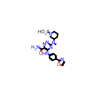 CN(c1nnc(C(N)=O)c(Nc2ccc(-c3ncco3)cc2)n1)C1CCCN(C(=O)O)C1